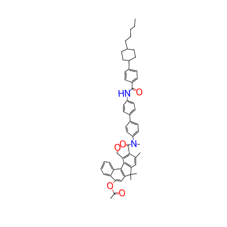 CCCCCC1CCC(c2ccc(C(=O)Nc3ccc(-c4ccc(N(C)C(=O)c5c(C)cc6c(c5C=O)-c5c(cc(OC(C)=O)c7ccccc57)C6(C)C)cc4)cc3)cc2)CC1